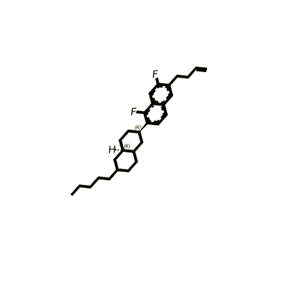 C=CCCc1cc2ccc([C@@H]3CC[C@@H]4CC(CCCCC)CCC4C3)c(F)c2cc1F